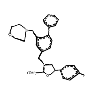 O=CC1OC(c2ccc(F)cc2)CN1Cc1ccc(-c2ccccc2)c(CN2CCOCC2)c1